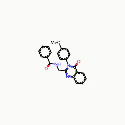 COc1ccc(-n2c(CNC(=O)c3ccccc3)nc3ccccc3c2=O)cc1